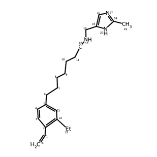 C=Cc1ccc(CCCCCCCNCc2cnc(C)[nH]2)cc1CC